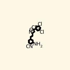 N#Cc1ccc(C=CC2=NOC(c3cc(Cl)cc(Cl)c3)(C(F)(F)F)C2)cc1N